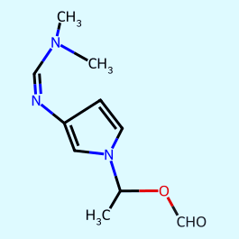 CC(OC=O)n1ccc(/N=C\N(C)C)c1